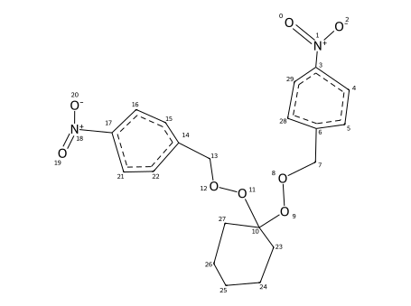 O=[N+]([O-])c1ccc(COOC2(OOCc3ccc([N+](=O)[O-])cc3)CCCCC2)cc1